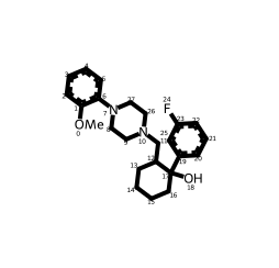 COc1ccccc1N1CCN(CC2CCCCC2(O)c2cccc(F)c2)CC1